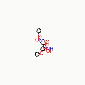 O=C(CC1(c2ccc(Oc3ccccc3)cc2)CCN(C(=O)OCc2ccccc2)CCS1(=O)=O)NO